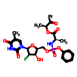 Cc1cn([C@H]2O[C@@H](CO[P@@](=O)(N[C@@H](C)C(=O)O[C@@H](C)C(=O)C(C)C)Oc3ccccc3)[C@H](O)[C@H]2F)c(=O)[nH]c1=O